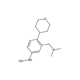 CN(C)Cc1cc(BO)ccc1C1CCOCC1